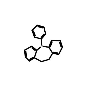 c1ccc(N2c3ccccc3CCc3ccccc32)cc1